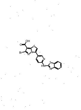 O=C(O)c1c(Br)nn2c(-c3ccc(Nc4nc5ccccc5s4)nc3)csc12